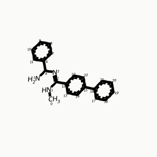 CN/C(=N\C(N)c1ccccc1)c1ccc(-c2ccccc2)cc1